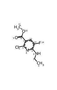 CCNc1nc(Cl)c(C(=O)OC)cc1F